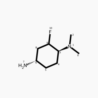 CN(C)[C@H]1CC[C@H](N)CC1F